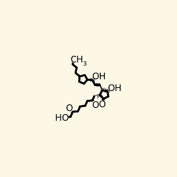 CCCCC1CCC([C@H](O)C=C[C@H]2[C@H](O)CC(=O)[C@@H]2CC(=O)CCCCC(=O)CO)C1